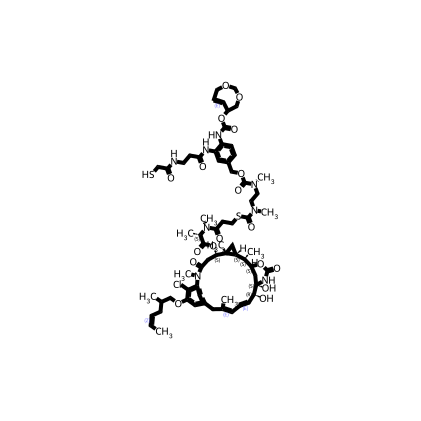 C/C=C\CC(C)COc1cc2cc(c1Cl)N(C)C(=O)C[C@H](OC(=O)[C@H](C)N(C)C(=O)CCSC(=O)N(C)CCN(C)C(=O)OCc1ccc(NC(=O)OC3/C=C/COCOC3)c(NC(=O)CCNC(=O)CS)c1)[C@]1(C)C[C@H]1[C@H](C)[C@@H]1C[C@@](O)(NC(=O)O1)[C@H](O)/C=C/C=C(\C)C2